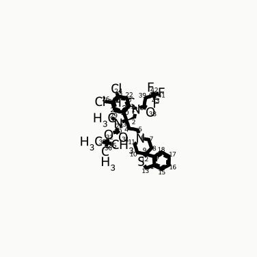 CN(C[C@](CCN1CCC2(CC1)SCc1ccccc12)(c1ccc(Cl)c(Cl)c1)N(C)C(=O)OC(C)(C)C)C(=O)CC(F)(F)F